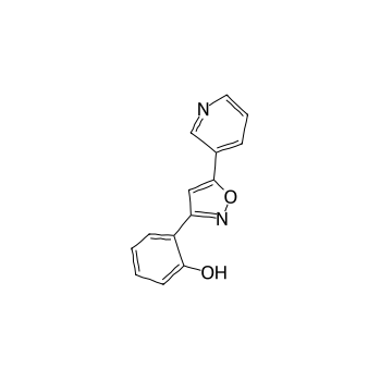 Oc1ccccc1-c1cc(-c2cccnc2)on1